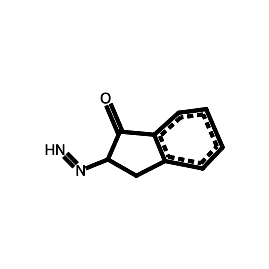 N=NC1Cc2ccccc2C1=O